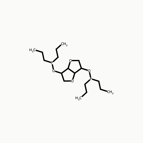 CCCP(CCC)OC1COC2C(OP(CCC)CCC)COC12